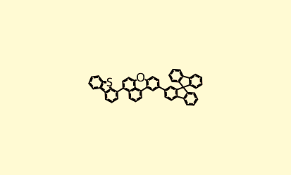 c1ccc2c(c1)-c1ccccc1C21c2ccccc2-c2ccc(-c3ccc4c(c3)-c3cccc5c(-c6cccc7c6sc6ccccc67)ccc(c35)O4)cc21